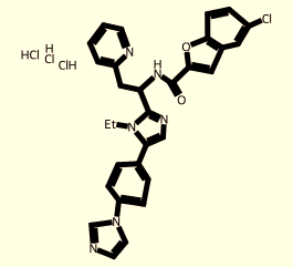 CCn1c(-c2ccc(-n3ccnc3)cc2)cnc1C(Cc1ccccn1)NC(=O)c1cc2cc(Cl)ccc2o1.Cl.Cl.Cl